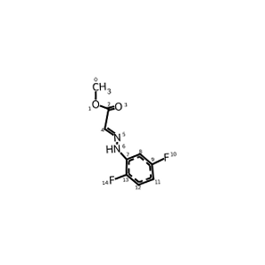 COC(=O)C=NNc1cc(F)ccc1F